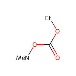 CCOC(=O)ONC